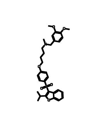 COc1ccc(CN(C)CCCCOc2ccc(S(=O)(=O)c3c(C(C)C)oc4ccccc34)cc2)cc1OC